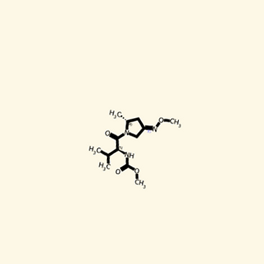 CO/N=C1\C[C@@H](C)N(C(=O)[C@@H](NC(=O)OC)C(C)C)C1